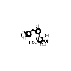 CN1CCOc2cc(Cc3cc([C@@H]4O[C@H](CO)[C@@H](O)[C@H](O)[C@H]4O)ccc3Cl)ccc21